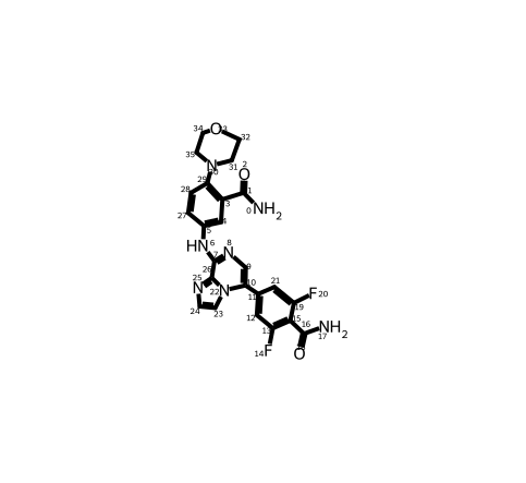 NC(=O)c1cc(Nc2ncc(-c3cc(F)c(C(N)=O)c(F)c3)n3ccnc23)ccc1N1CCOCC1